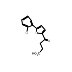 O=C(O)CCC(=O)c1ccc(-c2ccccc2Cl)o1